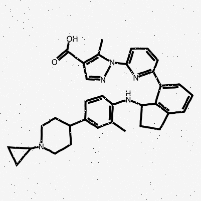 Cc1cc(C2CCN(C3CC3)CC2)ccc1NC1CCc2cccc(-c3cccc(-n4ncc(C(=O)O)c4C)n3)c21